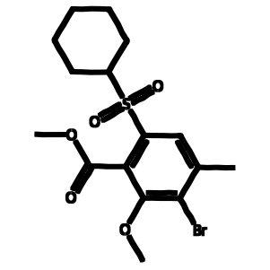 COC(=O)c1c(S(=O)(=O)C2CCCCC2)cc(C)c(Br)c1OC